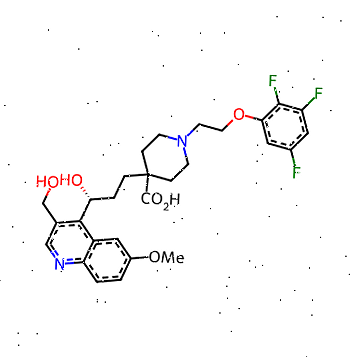 COc1ccc2ncc(CO)c([C@H](O)CCC3(C(=O)O)CCN(CCOc4cc(F)cc(F)c4F)CC3)c2c1